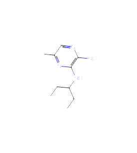 CCC(CC)Nc1nc(Br)cnc1N